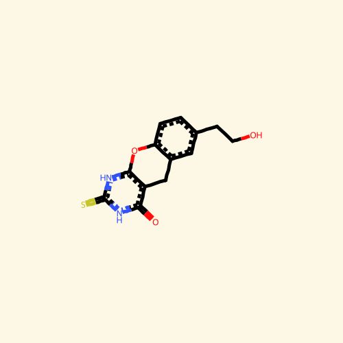 O=c1[nH]c(=S)[nH]c2c1Cc1cc(CCO)ccc1O2